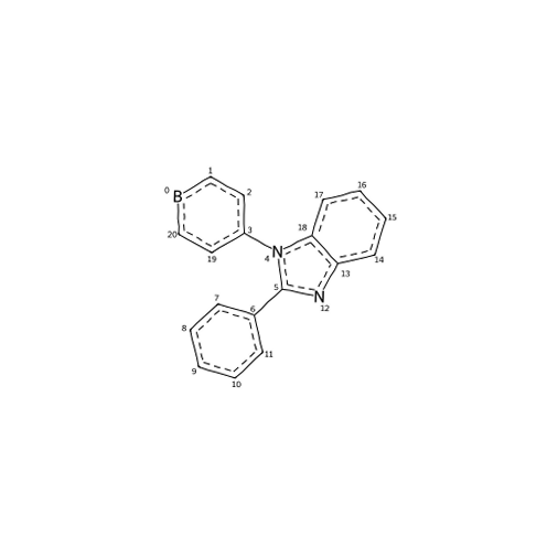 b1ccc(-n2c(-c3ccccc3)nc3ccccc32)cc1